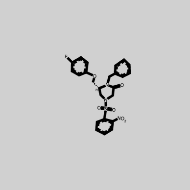 O=C1CN(S(=O)(=O)c2ccccc2[N+](=O)[O-])C[C@H](COc2ccc(F)cc2)N1Cc1ccccc1